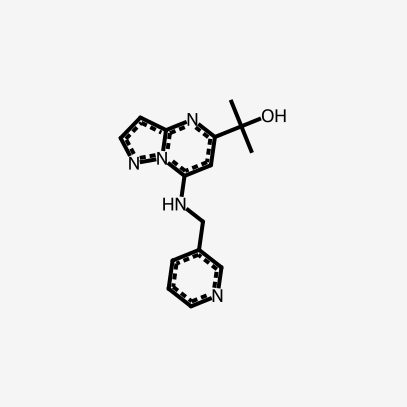 CC(C)(O)c1cc(NCc2cccnc2)n2nccc2n1